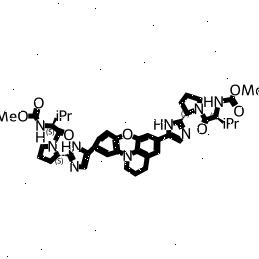 COC(=O)N[C@H](C(=O)N1CCC[C@H]1c1ncc(-c2cc3c4c(c2)Oc2ccc(-c5cnc([C@@H]6CCCN6C(=O)[C@@H](NC(=O)OC)C(C)C)[nH]5)cc2N4CCC3)[nH]1)C(C)C